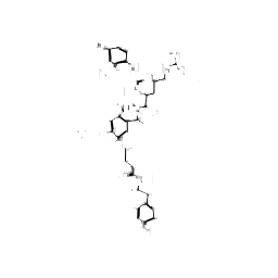 COc1cc([N+](=O)[O-])c(C(C)NC(=O)C(CCCNC(=N)N)NC(=O)CNc2ccc([N+](=O)[O-])cc2[N+](=O)[O-])cc1OCCCC(=O)NCCc1ccc(O)cc1